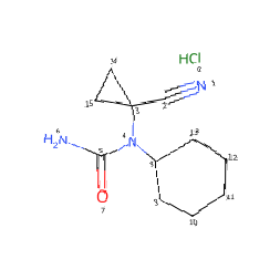 Cl.N#CC1(N(C(N)=O)C2CCCCC2)CC1